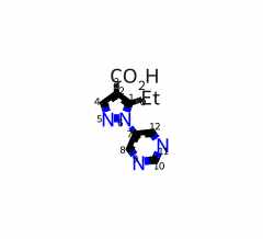 CCc1c(C(=O)O)cnn1-c1cncnc1